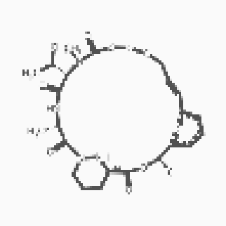 CC(C)[C@H]1C(=O)N[C@@H](C)C(=O)N2CCC[C@H](N2)C(=O)O[C@H](C)c2cccc(c2)/C=C/CCCCC(=O)N1C